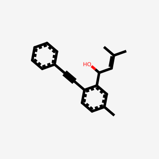 CC(C)=CC(O)c1cc(C)ccc1C#Cc1ccccc1